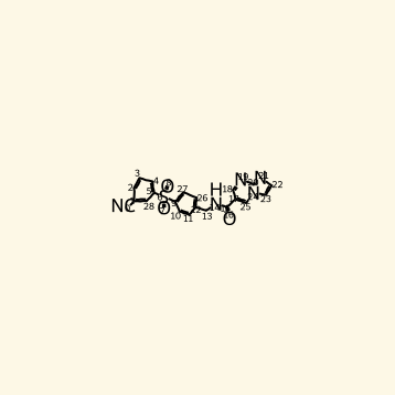 N#Cc1cccc(S(=O)(=O)c2ccc(CNC(=O)c3cnc4nccn4c3)cc2)c1